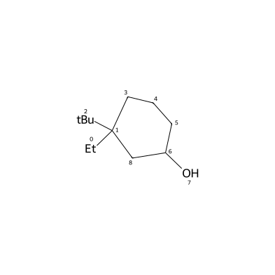 CCC1(C(C)(C)C)CCCC(O)C1